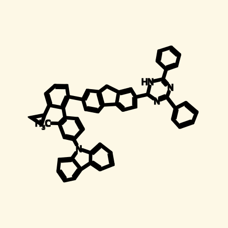 Cc1cc(-n2c3ccccc3c3ccccc32)ccc1-c1c(-c2ccc3c(c2)Cc2cc(C4N=C(c5ccccc5)N=C(c5ccccc5)N4)ccc2-3)cccc1C1CC1